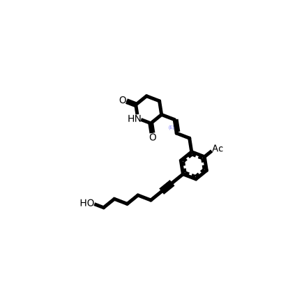 CC(=O)c1ccc(C#CCCCCCO)cc1C/C=C/C1CCC(=O)NC1=O